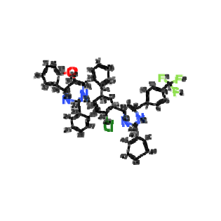 FC(F)(F)c1ccc(-c2cc(-c3cc(-c4ccccc4-c4nc(-c5ccccc5)nc5c4oc4ccccc45)ccc3Cl)nc(-c3ccccc3)n2)cc1